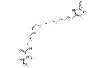 CNC(=O)C(=O)NCCCC/C=C\CCCCCCCCCC1=NOS(=O)N1